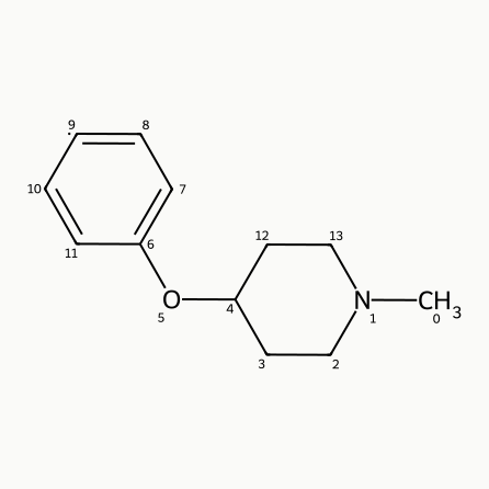 CN1CCC(Oc2cc[c]cc2)CC1